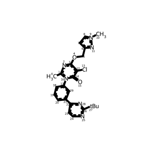 Cc1nc(OCc2ccn(C)n2)c(Cl)c(=O)n1-c1cccc(-c2ccnc(C(C)(C)C)n2)c1